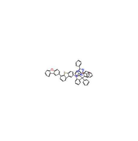 c1ccc(-c2nc(-c3ccccc3)nc(N(c3ccc4sc5c(-c6ccc7oc8ccccc8c7c6)cccc5c4c3)c3ccccc3C3(c4ccccc4)c4ccccc4-c4ccccc43)n2)cc1